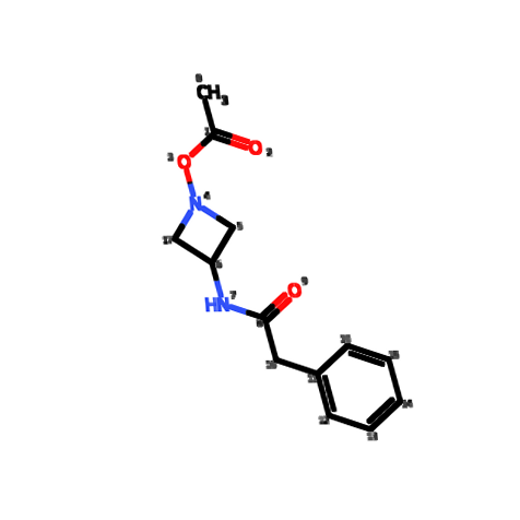 CC(=O)ON1CC(NC(=O)Cc2ccccc2)C1